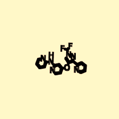 FC(F)n1cc(Oc2ccnc(Nc3ccccn3)c2)c(-c2ccccn2)n1